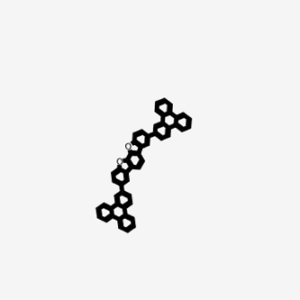 c1ccc2c(c1)c1ccccc1c1cc(-c3ccc4oc5c(ccc6c7cc(-c8ccc9c%10ccccc%10c%10ccccc%10c9c8)ccc7oc65)c4c3)ccc21